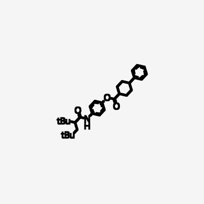 CC(C)(C)CC(C(=O)Nc1ccc(OC(=O)C2CCC(c3ccccc3)CC2)cc1)C(C)(C)C